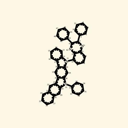 c1ccc(-c2nc3cccc(-n4c5ccccc5c5cc6c7cc8ccccc8cc7n(-c7ccccc7)c6cc54)c3nc2-c2ccccc2)cc1